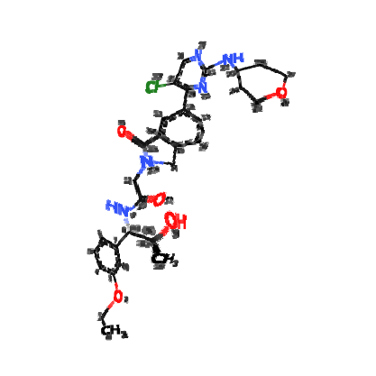 CCOc1cccc([C@H](NC(=O)CN2Cc3ccc(-c4nc(NC5CCOCC5)ncc4Cl)cc3C2=O)[C@H](C)O)c1